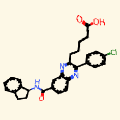 O=C(O)CCCCc1nc2cc(C(=O)N[C@H]3CCc4ccccc43)ccc2nc1-c1ccc(Cl)cc1